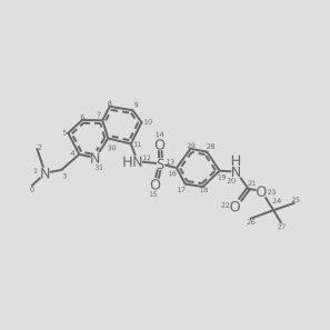 CN(C)Cc1ccc2cccc(NS(=O)(=O)c3ccc(NC(=O)OC(C)(C)C)cc3)c2n1